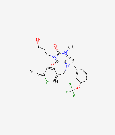 C=C(/C=C\C(Cl)=C/C)Cn1c(C2=CC(OC(F)(F)F)CC=C2)cc2c1c(=O)n(CCCO)c(=O)n2C